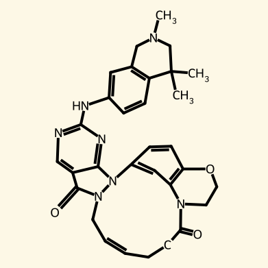 CN1Cc2cc(Nc3ncc4c(=O)n5n(c4n3)-c3ccc4c(c3)N(CCO4)C(=O)CC/C=C\C5)ccc2C(C)(C)C1